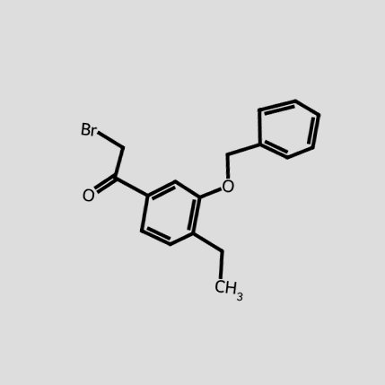 CCc1ccc(C(=O)CBr)cc1OCc1ccccc1